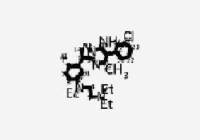 CCN(CC)CCN(CC)c1ccc(F)c(-c2cnn3c(N)c(-c4cccc(Cl)c4)c(C)nc23)c1